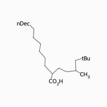 CCCCCCCCCCCCCCCCC(CCC(C)CC(C)(C)C)C(=O)O